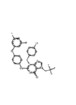 O=c1nc(Nc2ccc(Oc3cc(F)nc(F)c3)cc2)n(Cc2ccc(Cl)cc2)c2ncn(CC(F)(F)F)c12